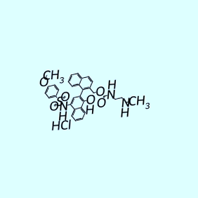 CNCCNC(=O)OCc1ccc2ccccc2c1-c1cc(NS(=O)(=O)c2ccc(OC)cc2)c2ccccc2c1O.Cl